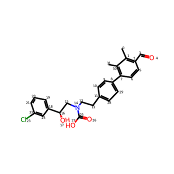 Cc1c(C=O)ccc(-c2ccc(CCN(C[C@@H](O)c3cccc(Cl)c3)C(=O)O)cc2)c1C